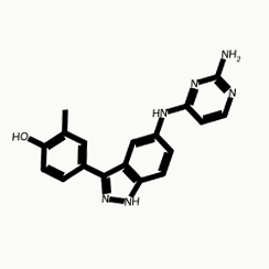 Cc1cc(-c2n[nH]c3ccc(Nc4ccnc(N)n4)cc23)ccc1O